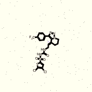 O=C(NC/C=C1\CCCn2nnc(-c3ccc(C(F)(F)F)cc3)c21)NS(=O)(=O)c1cc(Cl)c(Cl)s1